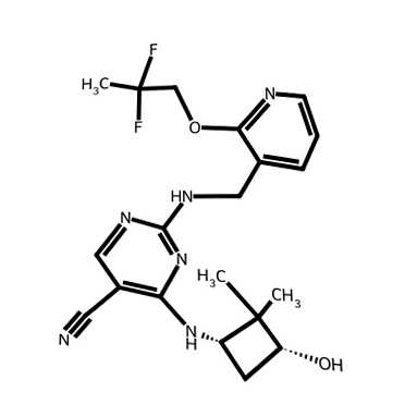 CC(F)(F)COc1ncccc1CNc1ncc(C#N)c(N[C@H]2C[C@@H](O)C2(C)C)n1